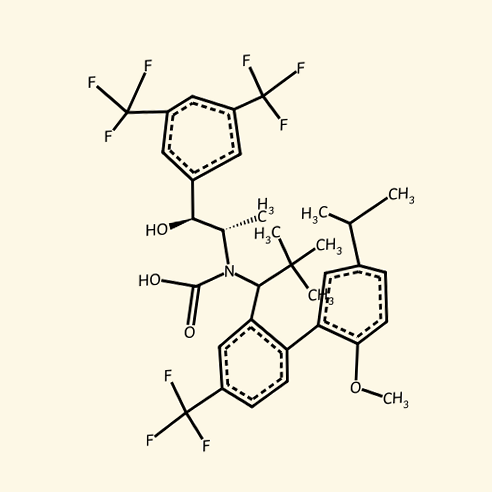 COc1ccc(C(C)C)cc1-c1ccc(C(F)(F)F)cc1C(N(C(=O)O)[C@@H](C)[C@@H](O)c1cc(C(F)(F)F)cc(C(F)(F)F)c1)C(C)(C)C